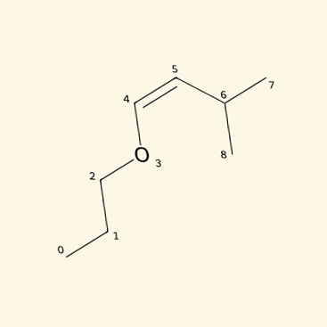 CCCO/C=C\C(C)C